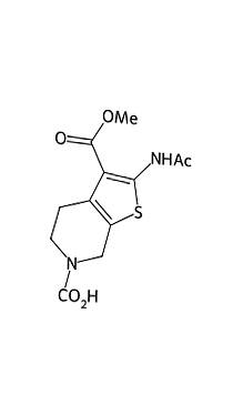 COC(=O)c1c(NC(C)=O)sc2c1CCN(C(=O)O)C2